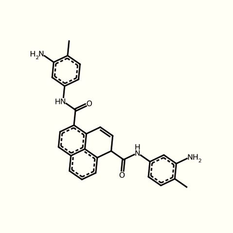 Cc1ccc(NC(=O)c2ccc3cccc4c3c2C=CC4C(=O)Nc2ccc(C)c(N)c2)cc1N